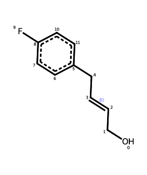 OC/C=C/Cc1ccc(F)cc1